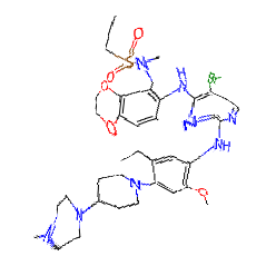 CCc1cc(Nc2ncc(Br)c(Nc3ccc4c(c3N(C)S(=O)(=O)CC)OCCO4)n2)c(OC)cc1N1CCC(N2CCN(C)CC2)CC1